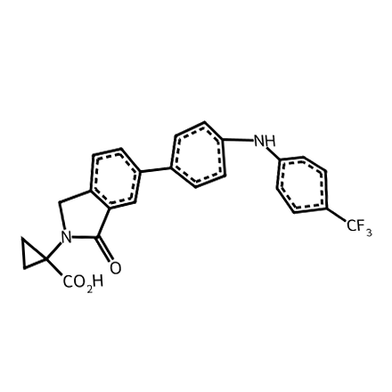 O=C1c2cc(-c3ccc(Nc4ccc(C(F)(F)F)cc4)cc3)ccc2CN1C1(C(=O)O)CC1